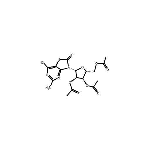 CC(=O)OC[C@H]1O[C@@H](n2c(=O)sc3c(Cl)nc(N)nc32)[C@H](OC(C)=O)[C@@H]1OC(C)=O